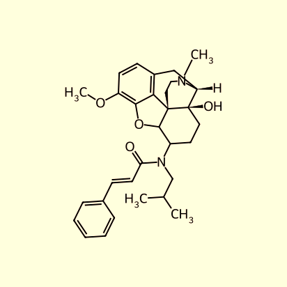 COc1ccc2c3c1OC1C(N(CC(C)C)C(=O)/C=C/c4ccccc4)CC[C@@]4(O)[C@@H](C2)N(C)CC[C@]314